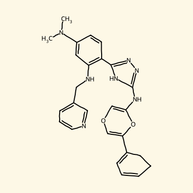 CN(C)c1ccc(-c2nnc(NC3=COC=C(C4=CC=CCC4)O3)[nH]2)c(NCc2cccnc2)c1